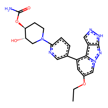 CCOc1cc(-c2ccc(N3CC[C@H](OC(N)=O)[C@@H](O)C3)nc2)c2c3cn[nH]c3nn2c1